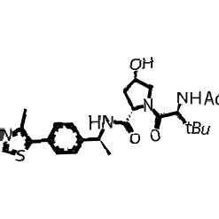 CC(=O)N[C@H](C(=O)N1C[C@H](O)C[C@H]1C(=O)N[C@@H](C)c1ccc(-c2scnc2C)cc1)C(C)(C)C